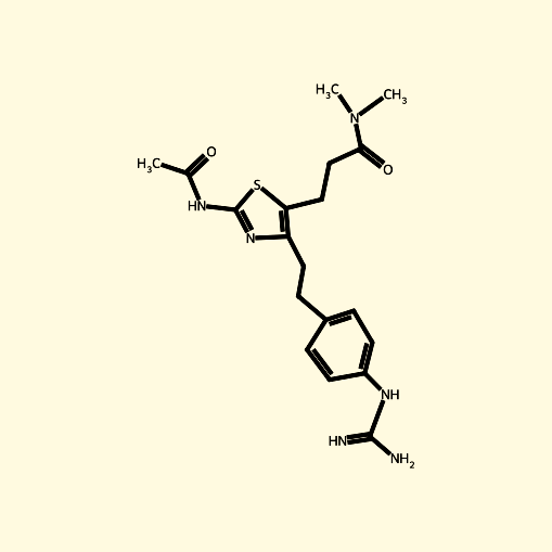 CC(=O)Nc1nc(CCc2ccc(NC(=N)N)cc2)c(CCC(=O)N(C)C)s1